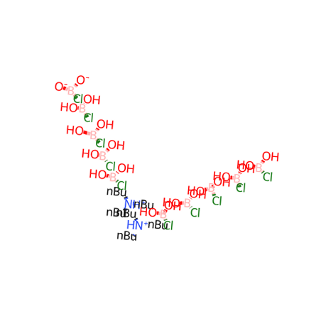 CCCC[NH+](CCCC)CCCC.CCCC[NH+](CCCC)CCCC.OB(O)Cl.OB(O)Cl.OB(O)Cl.OB(O)Cl.OB(O)Cl.OB(O)Cl.OB(O)Cl.OB(O)Cl.OB(O)Cl.[O-]B([O-])Cl